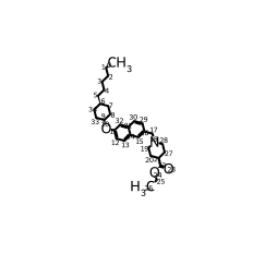 CCCCCC[C@H]1CC[C@@H](Oc2ccc3cc(CN4CCC(C(=O)OCC)CC4)ccc3c2)CC1